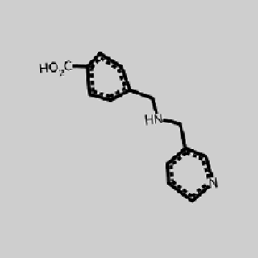 O=C(O)c1ccc(CNCc2cccnc2)cc1